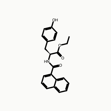 CCOC(=O)[C@H](Cc1ccc(O)cc1)NC(=O)c1cccc2ccccc12